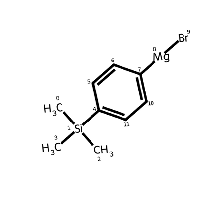 C[Si](C)(C)c1cc[c]([Mg][Br])cc1